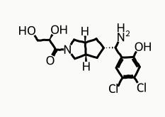 NC(c1cc(Cl)c(Cl)cc1O)[C@@H]1C[C@@H]2CN(C(=O)[C@H](O)CO)C[C@@H]2C1